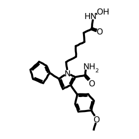 COc1ccc(-c2cc(-c3ccccc3)n(CCCCCC(=O)NO)c2C(N)=O)cc1